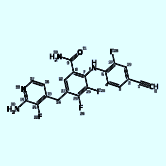 C#Cc1ccc(Nc2c(C(N)=O)cc(Cc3ccnc(N)c3F)c(F)c2F)c(F)c1